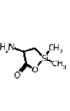 C[Si]1(C)CC(N)C(=O)O1